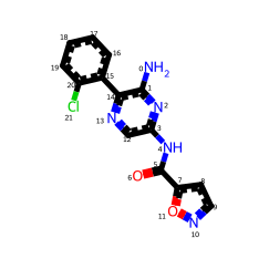 Nc1nc(NC(=O)c2ccno2)cnc1-c1ccccc1Cl